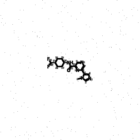 Cn1cncc1-c1cncc(C(=O)N[C@H]2CC[C@H](C(F)F)CC2)n1